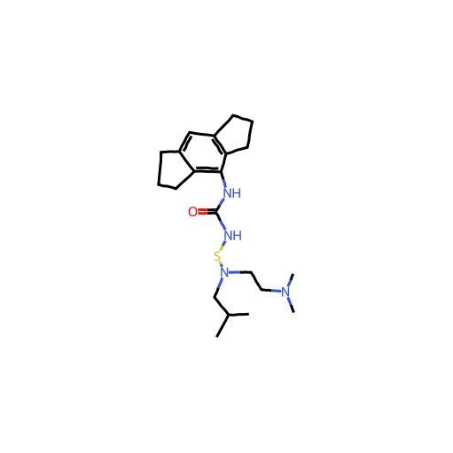 CC(C)CN(CCN(C)C)SNC(=O)Nc1c2c(cc3c1CCC3)CCC2